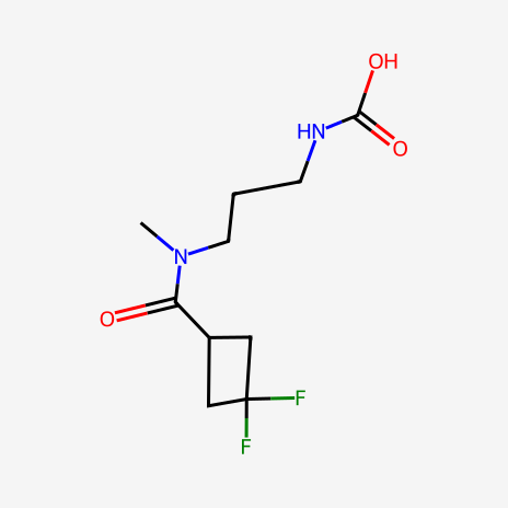 CN(CCCNC(=O)O)C(=O)C1CC(F)(F)C1